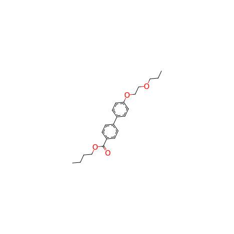 CCCCOC(=O)c1ccc(-c2ccc(OCCOCCC)cc2)cc1